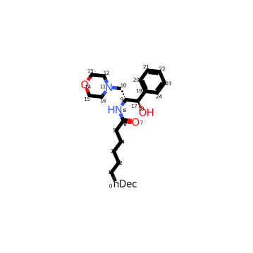 CCCCCCCCCCCCCCCC(=O)N[C@H](CN1CCOCC1)[C@H](O)c1ccccc1